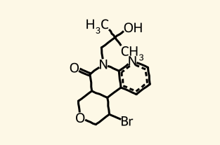 CC(C)(O)CN1C(=O)C2COCC(Br)C2c2cccnc21